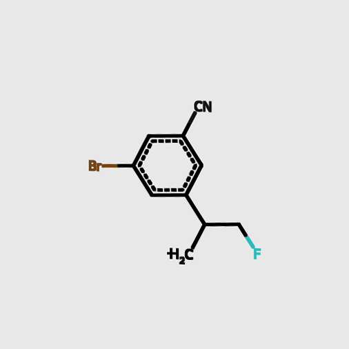 [CH2]C(CF)c1cc(Br)cc(C#N)c1